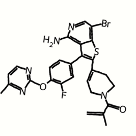 C=C(C)C(=O)N1CC=C(c2sc3c(Br)cnc(N)c3c2-c2ccc(Oc3nccc(C)n3)c(F)c2)CC1